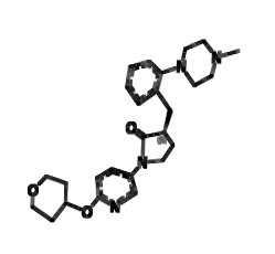 CN1CCN(c2ccccc2C[C@H]2CCN(c3ccc(OC4CCOCC4)nc3)C2=O)CC1